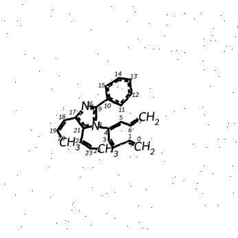 C=C/C=C\C(=C/C=C)n1c(-c2ccccc2)nc(/C=C\C)c1/C=C\C